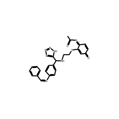 CC(=O)/N=C1/C=CC(=O)C=C1SCCNC(c1ccc(/N=C\c2ccccc2)cc1)c1nnn[nH]1